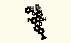 Nc1ncnc(-c2cc(F)cc(N3CCc4cc(C5CC5)ccc4C3=O)c2CO)c1OCC1CCCN1